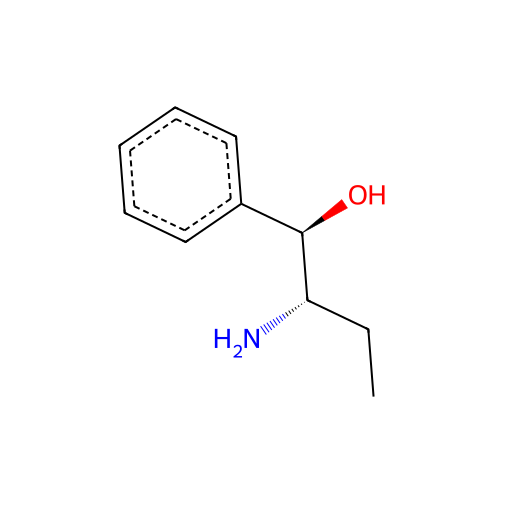 CC[C@H](N)[C@H](O)c1ccccc1